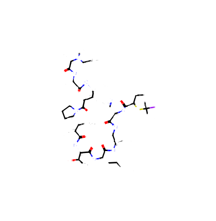 CCCC(C)CN(C)[C@H](C(=O)N[C@H](C(=O)N(C)[C@@H]([C@@H](C)CC)[C@@H](CC(=O)N1CCC[C@H]1C(OC)[C@@H](C)C(=O)N[C@H](C(=O)N[C@@H](CCC(=O)O)C(=O)N[C@H](C)CNC(=O)[C@H](CN)NC(=O)C(CC(=O)O)SC(C)(I)CC)C(C)O)OC)C(C)C)C(C)C